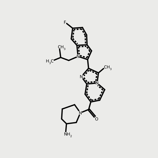 Cc1c(-c2cc3ccc(F)cc3n2CC(C)C)nc2cc(C(=O)N3CCCC(N)C3)ccn12